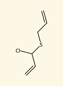 C=CCSC(Cl)C=C